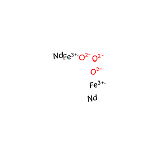 [Fe+3].[Fe+3].[Nd].[Nd].[O-2].[O-2].[O-2]